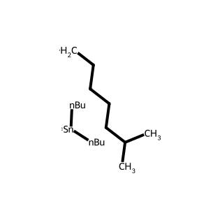 CCC[CH2][Sn][CH2]CCC.[CH2]CCCCC(C)C